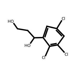 OCCC(O)c1cc(Cl)cc(Cl)c1Cl